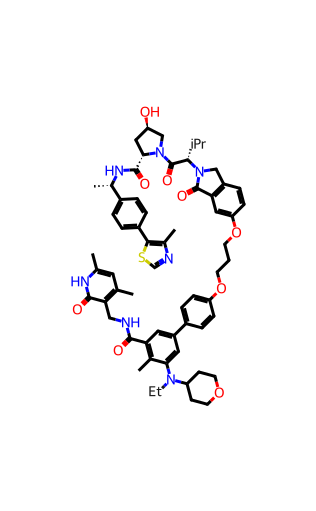 CCN(c1cc(-c2ccc(OCCCOc3ccc4c(c3)C(=O)N([C@H](C(=O)N3C[C@H](O)C[C@H]3C(=O)N[C@@H](C)c3ccc(-c5scnc5C)cc3)C(C)C)C4)cc2)cc(C(=O)NCc2c(C)cc(C)[nH]c2=O)c1C)C1CCOCC1